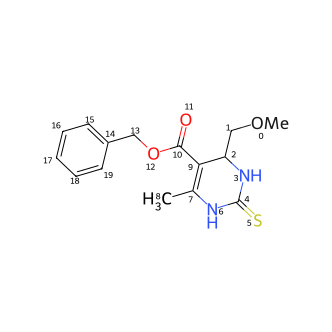 COCC1NC(=S)NC(C)=C1C(=O)OCc1ccccc1